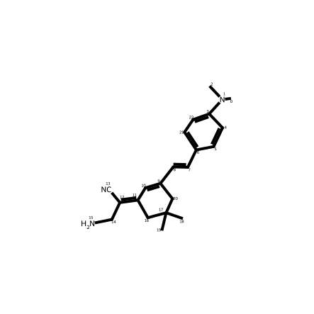 CN(C)c1ccc(C=CC2=CC(=C(C#N)CN)CC(C)(C)C2)cc1